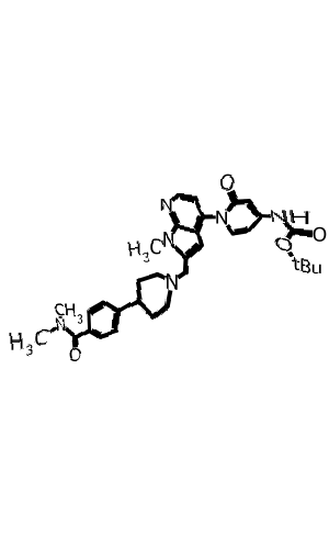 CN(C)C(=O)c1ccc(C2CCN(Cc3cc4c(-n5ccc(NC(=O)OC(C)(C)C)cc5=O)ccnc4n3C)CC2)cc1